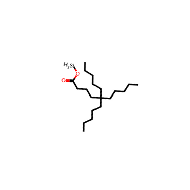 CCCCCC(CCCCC)(CCCCC)CCCC(=O)O[SiH3]